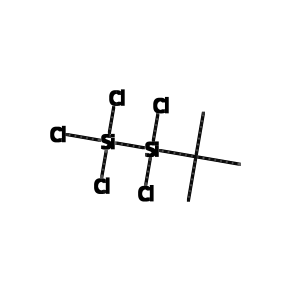 CC(C)(C)[Si](Cl)(Cl)[Si](Cl)(Cl)Cl